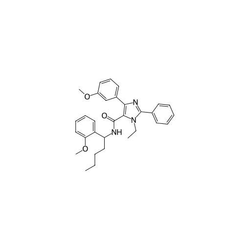 CCCCC(NC(=O)c1c(-c2cccc(OC)c2)nc(-c2ccccc2)n1CC)c1ccccc1OC